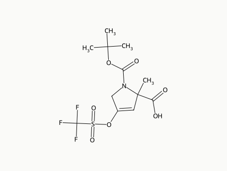 CC(C)(C)OC(=O)N1CC(OS(=O)(=O)C(F)(F)F)=CC1(C)C(=O)O